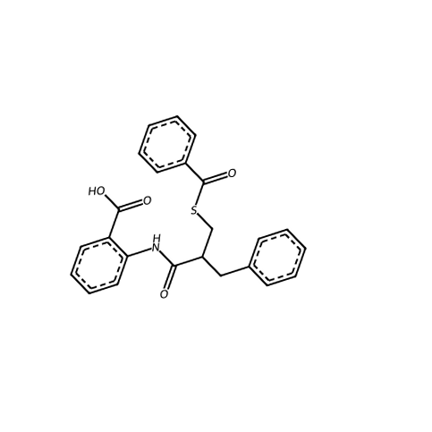 O=C(SCC(Cc1ccccc1)C(=O)Nc1ccccc1C(=O)O)c1ccccc1